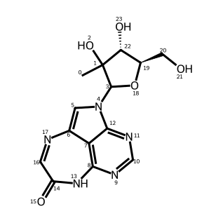 CC1(O)C(n2cc3c4c(ncnc42)NC(=O)C=N3)O[C@H](CO)[C@H]1O